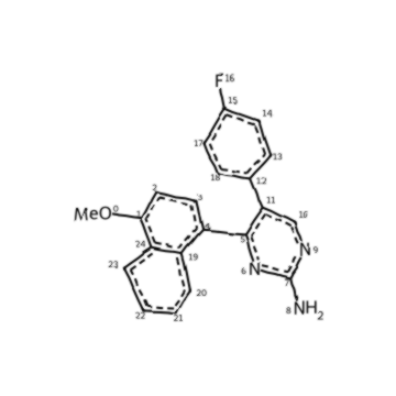 COc1ccc(-c2nc(N)ncc2-c2ccc(F)cc2)c2ccccc12